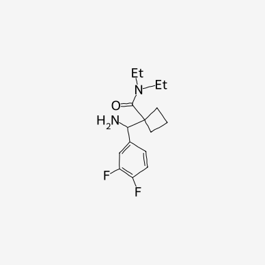 CCN(CC)C(=O)C1(C(N)c2ccc(F)c(F)c2)CCC1